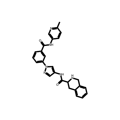 Cc1ccc(NC(=O)c2cccc(-n3cc(NC(=O)C4Cc5ccccc5CN4)cn3)c2)cn1